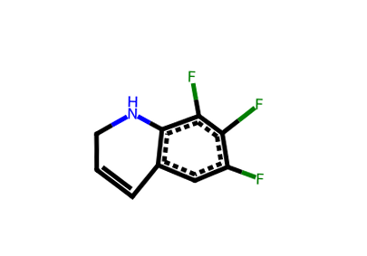 Fc1cc2c(c(F)c1F)NCC=C2